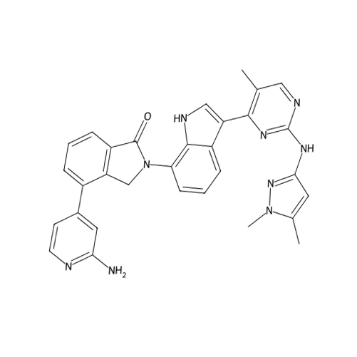 Cc1cnc(Nc2cc(C)n(C)n2)nc1-c1c[nH]c2c(N3Cc4c(cccc4-c4ccnc(N)c4)C3=O)cccc12